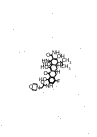 CN(C)[C@@H]1C(O)=C(C(N)=O)C(=N)[C@@]2(O)C(O)=C3C(=O)c4c(O)c(NC(=O)CN5CCOCC5)cc(F)c4C[C@H]3C[C@@H]12